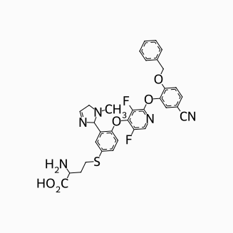 CN1CC=NC1c1cc(SCCC(N)C(=O)O)ccc1Oc1c(F)cnc(Oc2cc(C#N)ccc2OCc2ccccc2)c1F